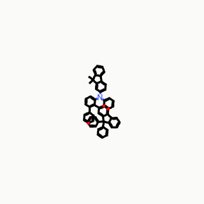 CC1(C)c2ccccc2-c2ccc(N(c3ccccc3)c3cccc(-c4ccccc4)c3-c3ccc4c(c3)C(c3ccccc3)(c3ccccc3)c3ccccc3-4)cc21